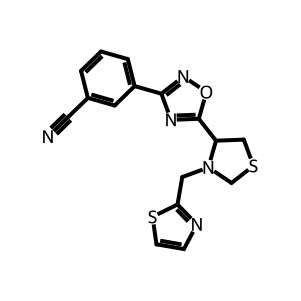 N#Cc1cccc(-c2noc(C3CSCN3Cc3nccs3)n2)c1